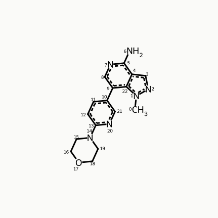 Cn1ncc2c(N)ncc(-c3ccc(N4CCOCC4)nc3)c21